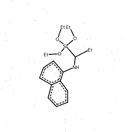 CCO[Si](OCC)(OCC)C(CC)Nc1cccc2ccccc12